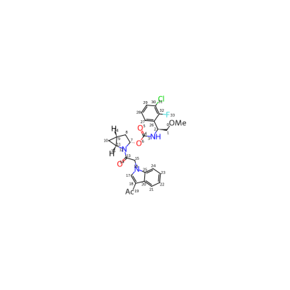 COC[C@@H](NC(=O)O[C@H]1C[C@H]2C[C@H]2N1C(=O)Cn1cc(C(C)=O)c2ccccc21)c1cccc(Cl)c1F